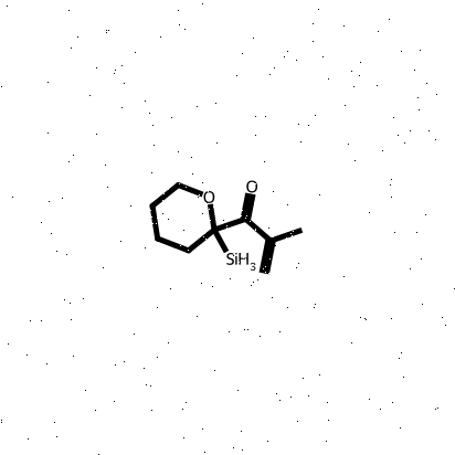 C=C(C)C(=O)C1([SiH3])CCCCO1